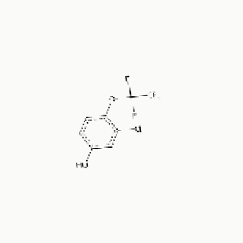 Oc1ccc(OC(F)(F)C(F)(F)F)c(Cl)c1